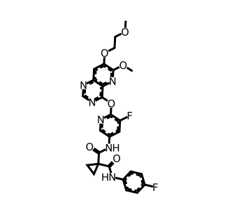 COCCOc1cc2ncnc(Oc3ncc(NC(=O)C4(C(=O)Nc5ccc(F)cc5)CC4)cc3F)c2nc1OC